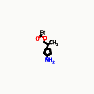 CCC(=O)OCC(C)c1ccc(N)cc1